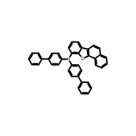 c1ccc(-c2ccc(N(c3ccc(-c4ccccc4)cc3)c3cccc4c3oc3c5ccccc5ccc43)cc2)cc1